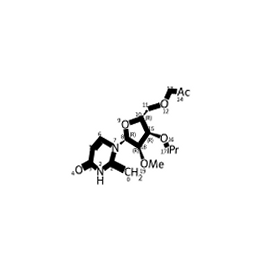 C=C1NC(=O)C=CN1[C@@H]1O[C@H](COCC(C)=O)[C@@H](OC(C)C)[C@H]1OC